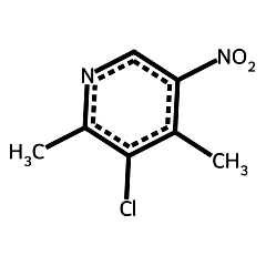 Cc1ncc([N+](=O)[O-])c(C)c1Cl